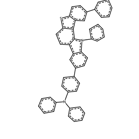 c1ccc(-c2ccc3sc4ccc5c6cc(-c7ccc(N(c8ccccc8)c8ccccc8)cc7)ccc6n(-c6ccccc6)c5c4c3c2)cc1